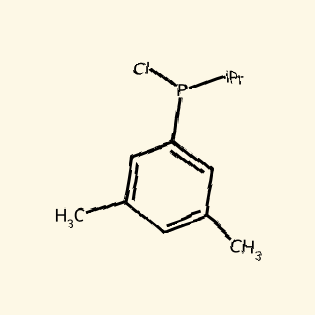 Cc1cc(C)cc(P(Cl)C(C)C)c1